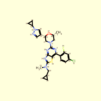 C[C@@H]1CN(c2nc(-c3ccc(Cl)cc3F)c3sc(N(C)CC4CC4)nc3n2)C[C@H](c2cnn(C3CC3)c2)O1